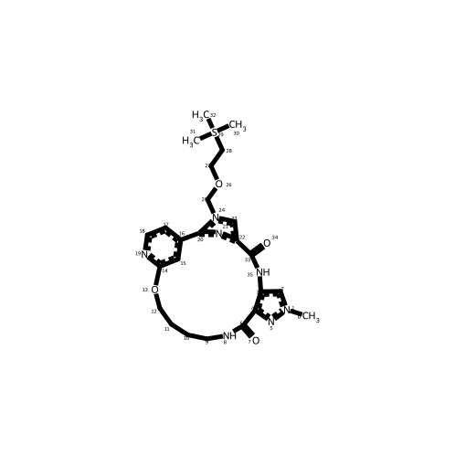 Cn1cc2c(n1)C(=O)NCCCCOc1cc(ccn1)-c1nc(cn1COCCS(C)(C)C)C(=O)N2